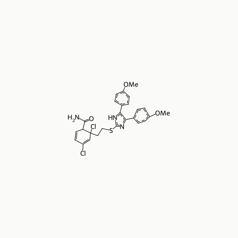 COc1ccc(-c2nc(SCCC3(Cl)C=C(Cl)C=CC3C(N)=O)[nH]c2-c2ccc(OC)cc2)cc1